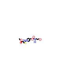 CCOC(=O)c1csc(N2CCC(COC(=O)NCCCOC)CC2)n1